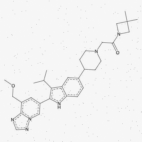 COCc1cc(-c2[nH]c3ccc(C4CCN(CC(=O)N5CC(C)(C)C5)CC4)cc3c2C(C)C)cn2ncnc12